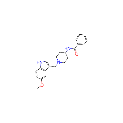 COc1ccc2[nH]cc(CN3CCC(NC(=O)c4ccccc4)CC3)c2c1